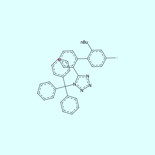 [CH2]c1ccc(-c2ccccc2-c2nnnn2C(c2ccccc2)(c2ccccc2)c2ccccc2)c(CCCC)c1